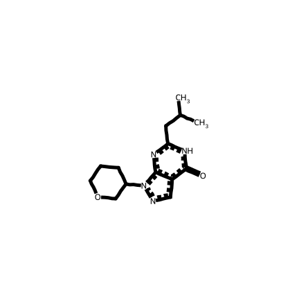 CC(C)Cc1nc2c(cnn2C2CCCOC2)c(=O)[nH]1